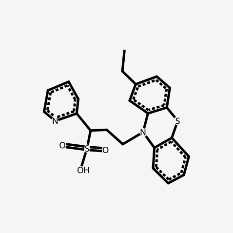 CCc1ccc2c(c1)N(CCC(c1ccccn1)S(=O)(=O)O)c1ccccc1S2